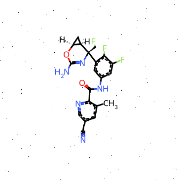 Cc1cc(C#N)cnc1C(=O)Nc1cc(F)c(F)c([C@]2(CF)N=C(N)O[C@H]3C[C@H]32)c1